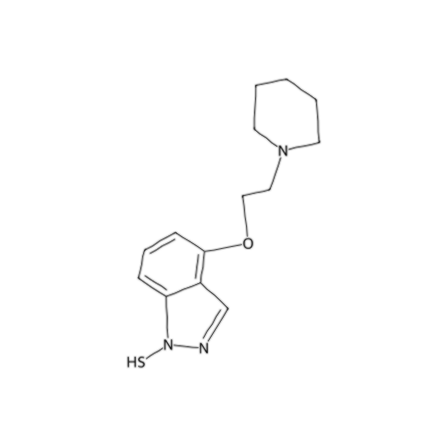 Sn1ncc2c(OCCN3CCCCC3)cccc21